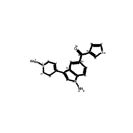 CCCCCCN1CC=C(c2cn(N)c3ccc(C(=O)c4ccsc4)cc23)CC1